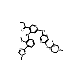 CCC(=O)c1cnc(Nc2cnc(O[C@@H]3CCN(C)C[C@@H]3C)cn2)cc1Nc1cccc(-c2ncn(C)n2)c1OC